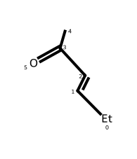 CC/C=C/C(C)=O